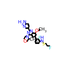 CCOc1cc(-c2cccc(NSCCCF)c2F)cc2c(N3CCOCC3C)nc(-c3ccc(N)nc3)nc12